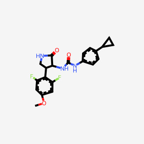 COc1cc(F)c(C2CNC(=O)C2NC(=O)Nc2ccc(C3CC3)cc2)c(F)c1